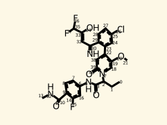 CCC(C(=O)Nc1ccc(C(=O)NC)c(F)c1)n1cc(OC)c(-c2cc(Cl)ccc2C(=N)/C=C(\O)C(F)F)cc1=O